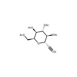 C#C[C@@H]1O[C@@H](COC(C)=O)[C@@H](OC(C)=O)[C@H](OC(C)=O)[C@H]1OC(C)=O